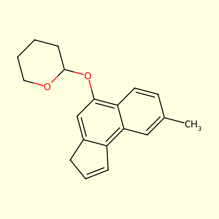 Cc1ccc2c(OC3CCCCO3)cc3c(c2c1)C=CC3